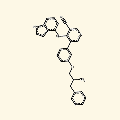 N#Cc1cncc(-c2cccc(OC[C@H](N)Cc3ccccc3)c2)c1Nc1cccc2[nH]ccc12